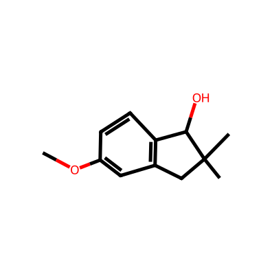 COc1ccc2c(c1)CC(C)(C)C2O